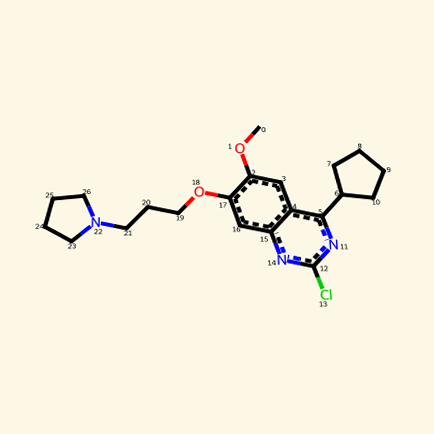 COc1cc2c(C3CCCC3)nc(Cl)nc2cc1OCCCN1CCCC1